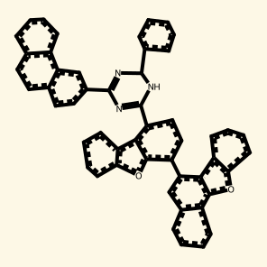 c1ccc(C2N=C(c3ccc4ccc5ccccc5c4c3)N=C(c3ccc(-c4cc5ccccc5c5oc6ccccc6c45)c4oc5ccccc5c34)N2)cc1